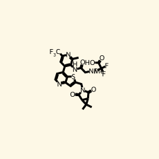 CNCC(=O)Nc1c(-c2ccnc3cc(CN4C(=O)C5C(C4=O)C5(C)C)sc23)cc(C(F)(F)F)nc1C.O=C(O)C(F)(F)F